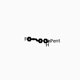 CCCCC[Si@H]1CC[C@H](c2ccc(C=CC#Cc3ccc(F)cc3)cc2)CC1